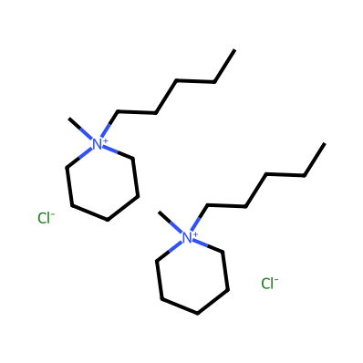 CCCCC[N+]1(C)CCCCC1.CCCCC[N+]1(C)CCCCC1.[Cl-].[Cl-]